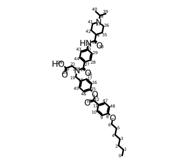 CCCCCCCOc1ccc(C(=O)Oc2ccc(CN(CC(=O)O)C(=O)c3ccc(NC(=O)C4CCN(C(C)C)CC4)cc3)cc2)cc1